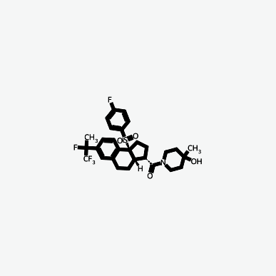 CC1(O)CCN(C(=O)[C@H]2CC[C@@]3(S(=O)(=O)c4ccc(F)cc4)c4ccc(C(C)(F)C(F)(F)F)cc4CC[C@@H]23)CC1